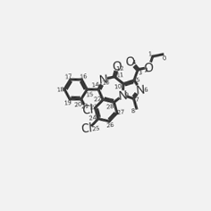 CCOC(=O)c1nc(C)n2c1c(=O)nc(-c1ccccc1Cl)c1cc(Cl)ccc12